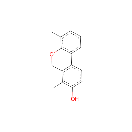 Cc1cccc2c1OCc1c-2ccc(O)c1C